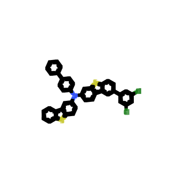 Clc1cc(Cl)cc(-c2ccc3sc4cc(N(c5ccc(-c6ccccc6)cc5)c5ccc6sc7ccccc7c6c5)ccc4c3c2)c1